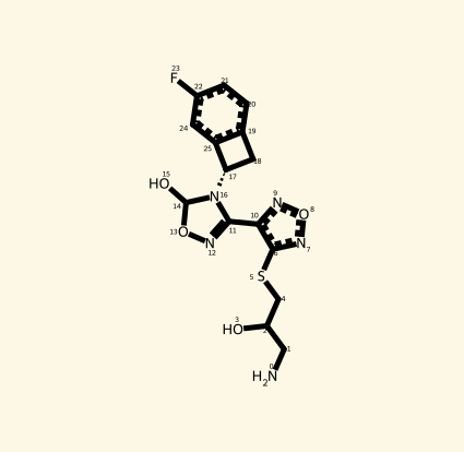 NCC(O)CSc1nonc1C1=NOC(O)N1[C@H]1Cc2ccc(F)cc21